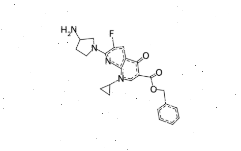 NC1CCN(c2nc3c(cc2F)c(=O)c(C(=O)OCc2ccccc2)cn3C2CC2)C1